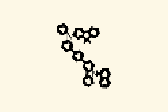 CC1(C)c2ccccc2-c2ccc(N(c3ccccc3)c3cccc(-c4ccc(-c5ccc6c(c5)c5ccccc5n6-c5cccc6ccccc56)cc4)c3)cc21